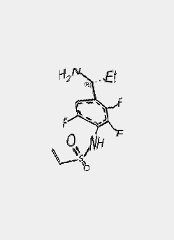 C=CS(=O)(=O)Nc1c(F)cc([C@H](N)CC)c(F)c1F